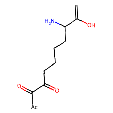 C=C(O)C(N)CCCCC(=O)C(=O)C(C)=O